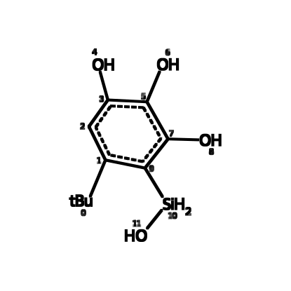 CC(C)(C)c1cc(O)c(O)c(O)c1[SiH2]O